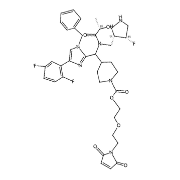 C[C@H](O)C(=O)N(C[C@@H]1CNC[C@@H]1F)C(c1nc(-c2cc(F)ccc2F)cn1Cc1ccccc1)C1CCN(C(=O)OCCOCCN2C(=O)C=CC2=O)CC1